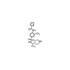 Cc1cc(S(=O)(=O)NC(C)C2CCNCC2)ccc1NC(=O)c1ccsc1